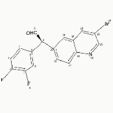 O=C[C@H](c1ccc(F)c(F)c1)c1ccc2ncc(Br)cc2c1